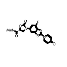 CNC(=O)[C@H]1CN(c2cc(F)c3nc(-n4ccc(=O)cc4)sc3c2)C(=O)O1